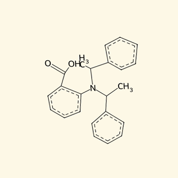 CC(c1ccccc1)N(c1ccccc1C(=O)O)C(C)c1ccccc1